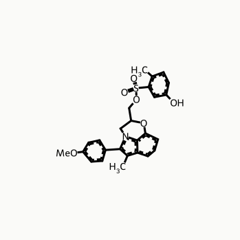 COc1ccc(-c2c(C)c3cccc4c3n2CC(COS(=O)(=O)c2cc(O)ccc2C)O4)cc1